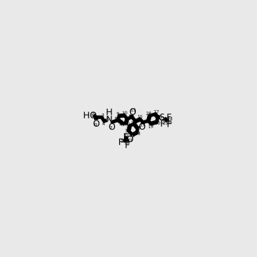 O=C(O)CCNC(=O)c1ccc(C(=O)C(=CC(=O)c2ccc(SC(F)(F)F)cc2)c2ccc(OC(F)(F)F)cc2)cc1